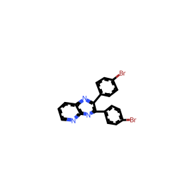 Brc1ccc(-c2nc3cccnc3nc2-c2ccc(Br)cc2)cc1